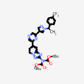 CC(c1ccc(C(F)(F)F)cc1)n1cc(-c2cncc(-c3ccn4nc(N(C(=O)OC(C)(C)C)C(=O)OC(C)(C)C)nc4c3)n2)cn1